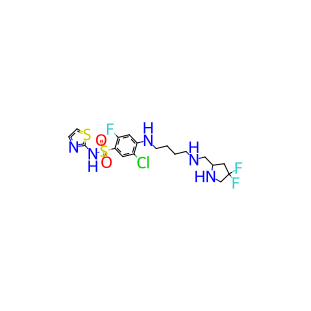 O=S(=O)(Nc1nccs1)c1cc(Cl)c(NCCCCNCC2CC(F)(F)CN2)cc1F